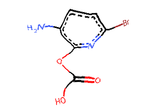 Nc1ccc(Br)nc1OC(=O)O